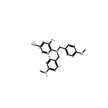 COc1ccc(CN(Cc2ccc(OC)cc2)c2ncc(O)cc2F)cc1